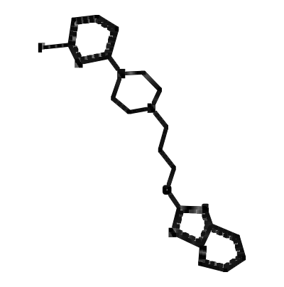 Fc1cccc(N2CCN(CCCOc3nc4ccccc4s3)CC2)n1